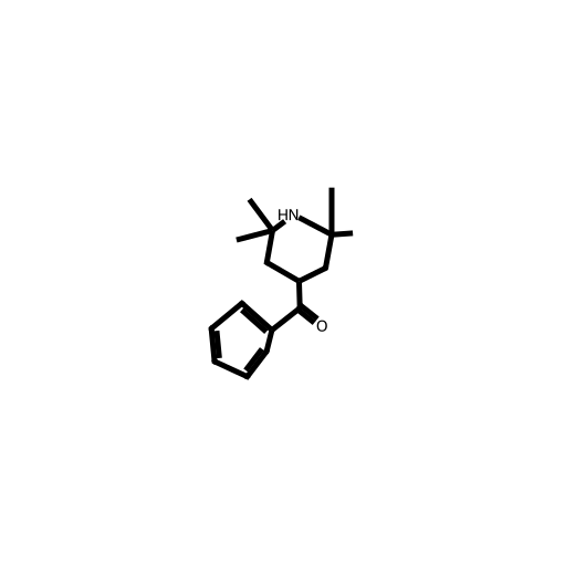 CC1(C)CC(C(=O)c2ccccc2)CC(C)(C)N1